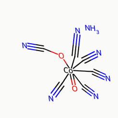 N.N#C[O][Co](=[O])([C]#N)([C]#N)([C]#N)([C]#N)[C]#N